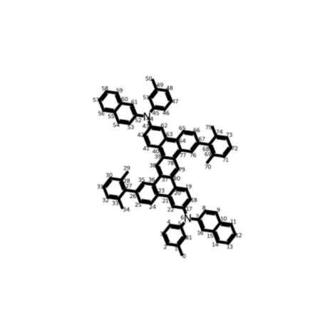 Cc1cccc(N(c2ccc3ccccc3c2)c2ccc3c(c2)c2ccc(-c4c(C)cccc4C)cc2c2cc4c5ccc(N(c6cccc(C)c6)c6ccc7ccccc7c6)cc5c5ccc(-c6c(C)cccc6C)cc5c4cc32)c1